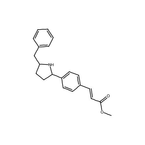 COC(=O)/C=C/c1ccc(C2CCC(Cc3ccccc3)N2)cc1